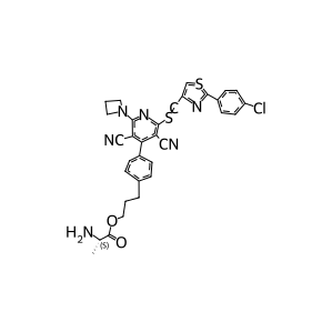 C[C@H](N)C(=O)OCCCc1ccc(-c2c(C#N)c(SCc3csc(-c4ccc(Cl)cc4)n3)nc(N3CCC3)c2C#N)cc1